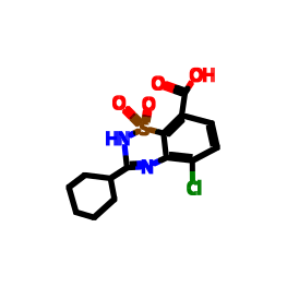 O=C(O)c1ccc(Cl)c2c1S(=O)(=O)NC(C1CCCCC1)=N2